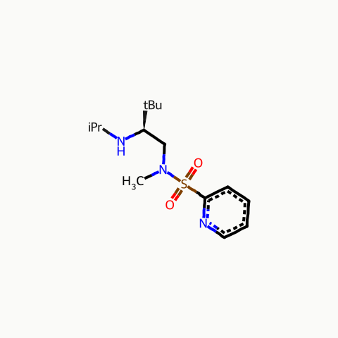 CC(C)N[C@H](CN(C)S(=O)(=O)c1ccccn1)C(C)(C)C